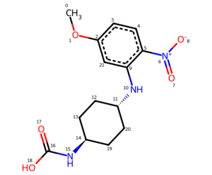 COc1ccc([N+](=O)[O-])c(N[C@H]2CC[C@H](NC(=O)O)CC2)c1